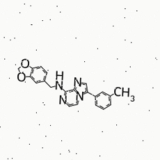 Cc1cccc(-c2cnc3c(NCc4ccc5c(c4)OCO5)nccn23)c1